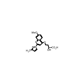 COc1ccc2c(OCC[C@H](O)C(=O)O)cc(-n3ccc(C)n3)nc2c1